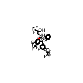 O=C(NC[C@H](O)C(F)(F)F)N[C@@](Cc1ccccc1)(c1cc(F)cc(OC(F)(F)C(F)F)c1)c1ccc(F)c(C(F)(F)F)c1